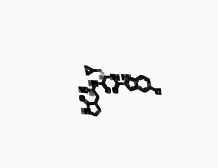 N#C[C@H](CC1CCNC1=O)NC(=O)[C@H](CC1CC1)NC(=O)c1cc2cc(Cl)ccc2[nH]1